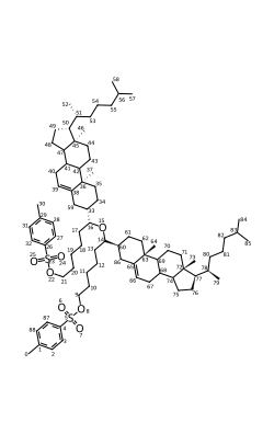 Cc1ccc(S(=O)(=O)OCCCCCC(OC(CCCCCOS(=O)(=O)c2ccc(C)cc2)[C@H]2CC[C@@]3(C)C(=CCC4C3CC[C@@]3(C)C4CC[C@@H]3[C@H](C)CCCC(C)C)C2)[C@H]2CC[C@@]3(C)C(=CCC4C3CC[C@@]3(C)C4CC[C@@H]3[C@H](C)CCCC(C)C)C2)cc1